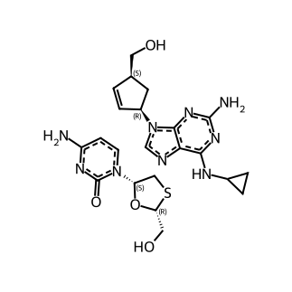 Nc1ccn([C@@H]2CS[C@H](CO)O2)c(=O)n1.Nc1nc(NC2CC2)c2ncn([C@H]3C=C[C@@H](CO)C3)c2n1